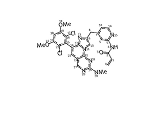 C=CC(=O)Nc1cc(Cc2cn3c(n2)c(-c2c(Cl)c(OC)cc(OC)c2Cl)cc2cnc(NC)nc23)ccn1